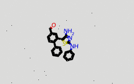 Nc1nc(Nc2ccccc2)sc1-c1cc(C=O)ccc1-c1ccccc1